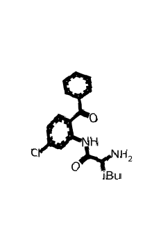 CCC(C)C(N)C(=O)Nc1cc(Cl)ccc1C(=O)c1ccccc1